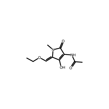 CCOC=C1C(O)=C(NC(C)=O)C(=O)N1C